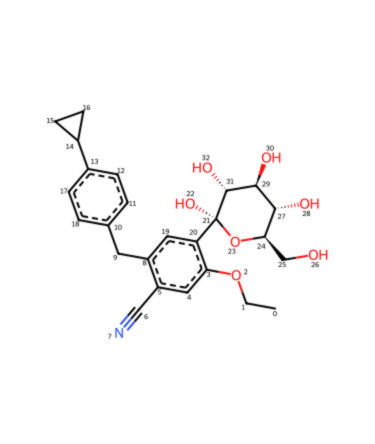 CCOc1cc(C#N)c(Cc2ccc(C3CC3)cc2)cc1[C@]1(O)O[C@H](CO)[C@@H](O)[C@H](O)[C@H]1O